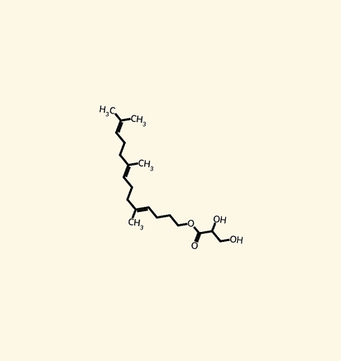 CC(C)=CCC/C(C)=C/CCC(C)=CCCCOC(=O)C(O)CO